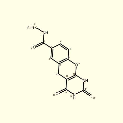 CCCCCCNC(=O)c1ccc2c(c1)Cc1c([nH]c(=S)[nH]c1=O)O2